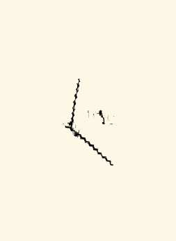 CCCCCCCCCCCCCCCCCC(=O)OCC(CO)OC(=O)CCCCCCCCCCCCCCCCC.NC(COP(=O)(O)O)C(=O)O